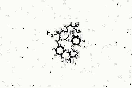 Cc1csnc1-c1cc(CN2CC[C@]3(CCS(=O)(=O)N3c3ccccn3)C[C@@H]2C)ccc1O